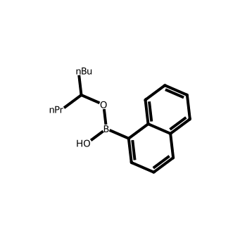 CCCCC(CCC)OB(O)c1cccc2ccccc12